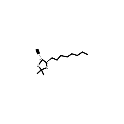 C#C[C@H]1OC(C)(C)O[C@@H]1CCCCCCCC